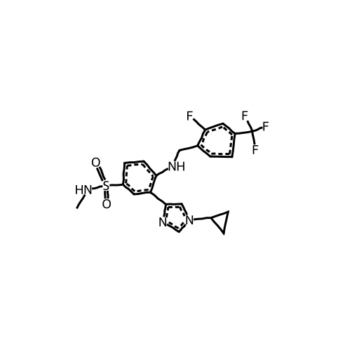 CNS(=O)(=O)c1ccc(NCc2ccc(C(F)(F)F)cc2F)c(-c2cn(C3CC3)cn2)c1